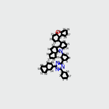 c1ccc(-c2nc(-c3cccc(-n4c5cccc(-c6cccc7oc8ccccc8c67)c5c5ccc6ccccc6c54)c3)nc(-c3ccc4ccccc4c3)n2)cc1